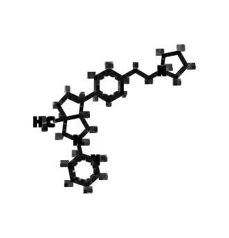 CC12CC=C(c3ccc(CCN4CCCC4)cc3)C1CN(c1ccccn1)C2